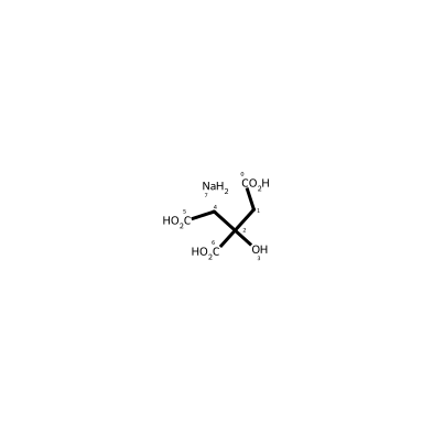 O=C(O)CC(O)(CC(=O)O)C(=O)O.[NaH2]